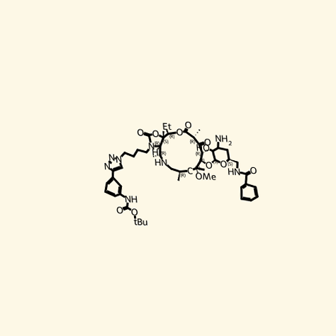 CC[C@H]1OC(=O)[C@H](C)C(=O)[C@H](C)[C@@H](O[C@@H]2O[C@H](CNC(=O)c3ccccc3)CC(N)C2O)[C@](C)(OC)C[C@@H](C)CN[C@H](C)[C@H]2N(CCCCn3cc(-c4cccc(NC(=O)OC(C)(C)C)c4)nn3)C(=O)O[C@]12C